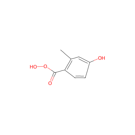 Cc1cc(O)ccc1C(=O)OO